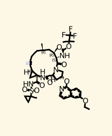 CCOc1ccc2c(O[C@@H]3C[C@H]4C(=O)N[C@]5(C(=O)NS(=O)(=O)C6(C)CC6)C[C@H]5/C=C\CC[C@@H](C)C[C@@H](C)[C@H](NC(=O)OC(C)(C)C(F)(F)F)C(=O)N4C3)nccc2c1